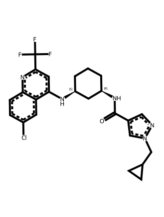 O=C(N[C@@H]1CCC[C@H](Nc2cc(C(F)(F)F)nc3ccc(Cl)cc23)C1)c1cnn(CC2CC2)c1